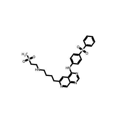 CS(=O)(=O)CCNCCCCc1cc2c(Nc3ccc(S(=O)(=O)c4ccccc4)cc3)ncnc2cn1